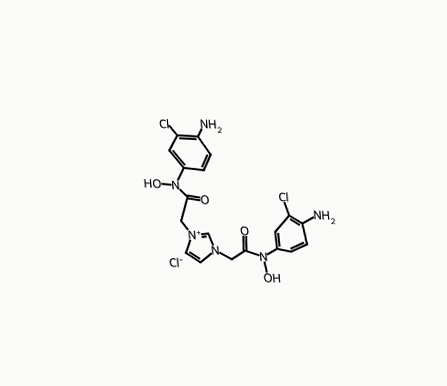 Nc1ccc(N(O)C(=O)Cn2cc[n+](CC(=O)N(O)c3ccc(N)c(Cl)c3)c2)cc1Cl.[Cl-]